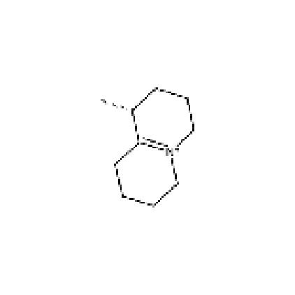 C[C@@H]1CCC[N+]2=C1CCCC2